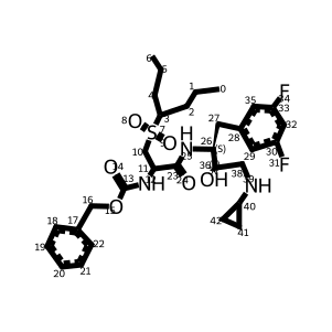 CCCC(CCC)S(=O)(=O)CC(NC(=O)OCc1ccccc1)C(=O)N[C@@H](Cc1cc(F)cc(F)c1)[C@H](O)CNC1CC1